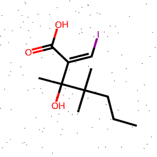 CCCC(C)(C)C(C)(O)C(=CI)C(=O)O